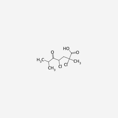 CC(C)C(=O)C(Cl)CC(C)(Cl)C(=O)O